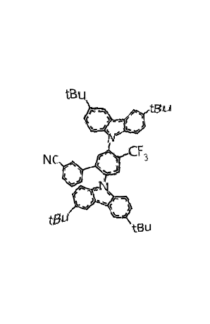 CC(C)(C)c1ccc2c(c1)c1cc(C(C)(C)C)ccc1n2-c1cc(C(F)(F)F)c(-n2c3ccc(C(C)(C)C)cc3c3cc(C(C)(C)C)ccc32)cc1-c1cccc(C#N)c1